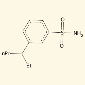 CCCC(CC)c1cccc(S(N)(=O)=O)c1